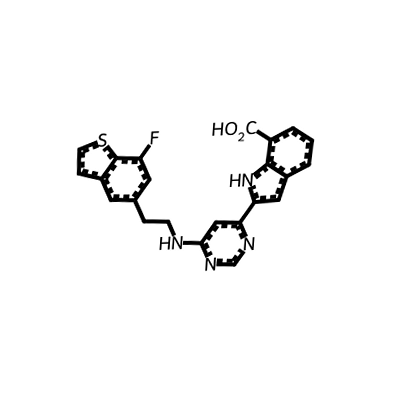 O=C(O)c1cccc2cc(-c3cc(NCCc4cc(F)c5sccc5c4)ncn3)[nH]c12